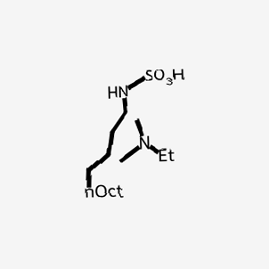 CCCCCCCCCCCCNS(=O)(=O)O.CCN(C)C